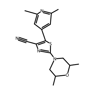 Cc1cc(-c2sc(N3CC(C)OC(C)C3)nc2C#N)cc(C)n1